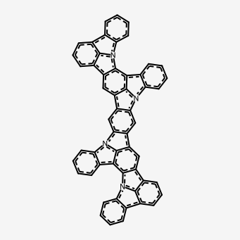 c1ccc2c(c1)c1c3c(cc4c5cccc6c7ccccc7n(c65)c41)c1cc4c(cc1n23)c1cc2c3cccc5c6ccccc6n(c53)c2c2c3ccccc3n4c12